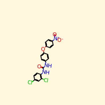 O=C(Nc1ccc(Oc2ccc([N+](=O)[O-])cc2)cc1)Nc1ccc(Cl)cc1Cl